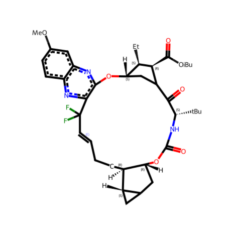 CC[C@@H]1[C@@H]2CC(C(=O)[C@H](C(C)(C)C)NC(=O)O[C@@H]3CC4C[C@@H]4[C@H]3CC/C=C/C(F)(F)c3nc4ccc(OC)cc4nc3O2)[C@@H]1C(=O)OCC(C)C